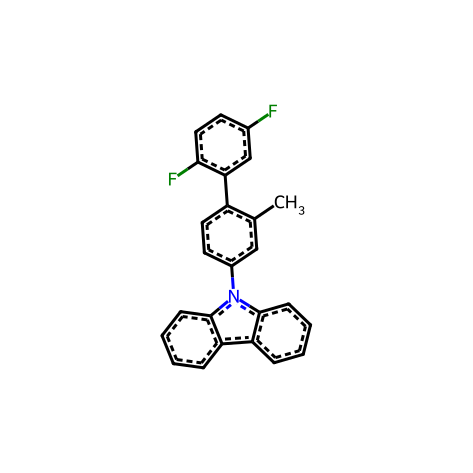 Cc1cc(-n2c3ccccc3c3ccccc32)ccc1-c1cc(F)ccc1F